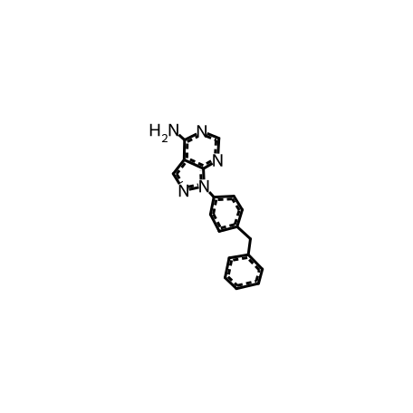 Nc1ncnc2c1cnn2-c1ccc(Cc2ccccc2)cc1